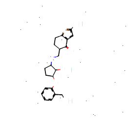 CCc1ccccc1OC1CCC(NCC2CCc3sc(C)cc3C2=O)C1O.Cl